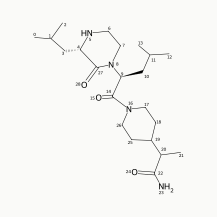 CC(C)C[C@@H]1NCCN([C@@H](CC(C)C)C(=O)N2CCC(C(C)C(N)=O)CC2)C1=O